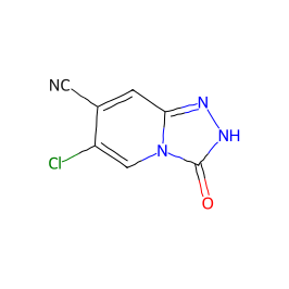 N#Cc1cc2n[nH]c(=O)n2cc1Cl